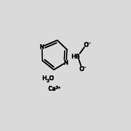 O.[Ca+2].[O-]B[O-].c1cnccn1